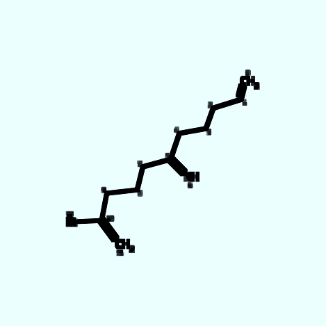 C=CCCCC(=N)CCCC(=C)CC